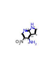 Nc1c([N+](=O)[O-])cnc2[nH]ccc12